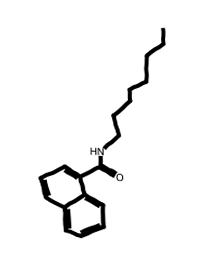 CCCCCCCCNC(=O)c1cccc2ccccc12